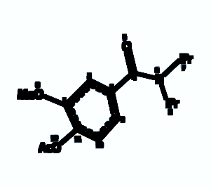 COc1cc(C(=O)N(C(C)C)C(C)C)ccc1OC(C)=O